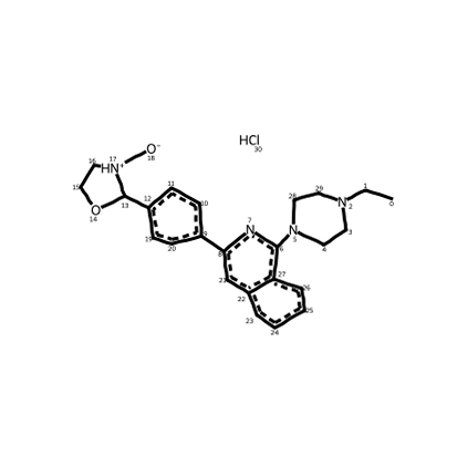 CCN1CCN(c2nc(-c3ccc(C4OCC[NH+]4[O-])cc3)cc3ccccc23)CC1.Cl